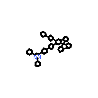 c1ccc(-c2ccc(-c3cc4c(cc3-c3ccc(-c5ccc(-c6cc(-c7ccccc7)nc(-c7ccccc7)n6)cc5)cc3)C3(c5ccccc5-c5ccccc53)c3ccccc3-4)cc2)cc1